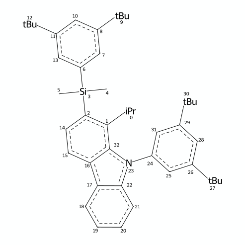 CC(C)c1c([Si](C)(C)c2cc(C(C)(C)C)cc(C(C)(C)C)c2)ccc2c3ccccc3n(-c3cc(C(C)(C)C)cc(C(C)(C)C)c3)c12